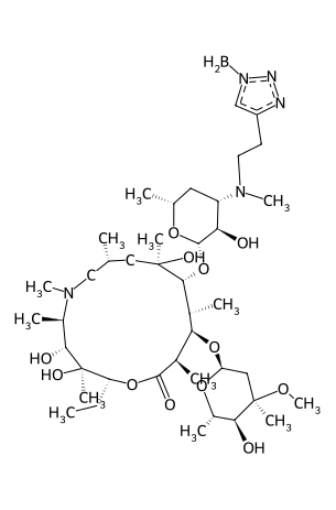 Bn1cc(CCN(C)[C@H]2C[C@@H](C)O[C@@H](O[C@@H]3[C@H](C)[C@@H](O[C@H]4C[C@@](C)(OC)[C@@H](O)[C@H](C)O4)[C@@H](C)C(=O)O[C@H](CC)[C@@](C)(O)[C@H](O)[C@@H](C)N(C)C[C@H](C)C[C@@]3(C)O)[C@@H]2O)nn1